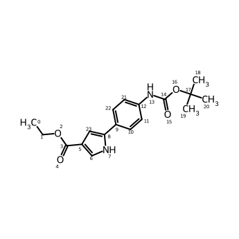 CCOC(=O)c1c[nH]c(-c2ccc(NC(=O)OC(C)(C)C)cc2)c1